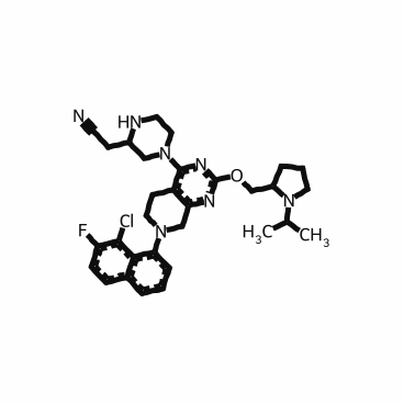 CC(C)N1CCCC1COc1nc2c(c(N3CCNC(CC#N)C3)n1)CCN(c1cccc3ccc(F)c(Cl)c13)C2